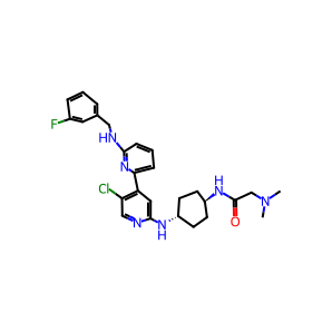 CN(C)CC(=O)N[C@H]1CC[C@H](Nc2cc(-c3cccc(NCc4cccc(F)c4)n3)c(Cl)cn2)CC1